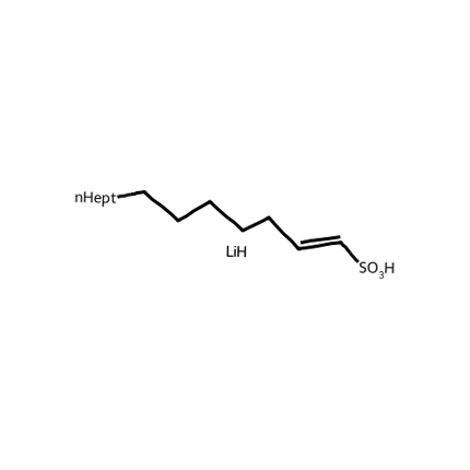 CCCCCCCCCCCCC=CS(=O)(=O)O.[LiH]